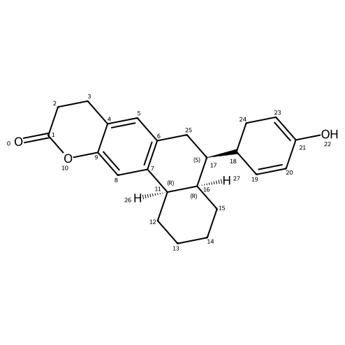 O=C1CCc2cc3c(cc2O1)[C@@H]1CCCC[C@@H]1[C@H](C1C=CC(O)=CC1)C3